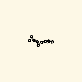 c1ccc(N(c2ccccc2)c2ccc(-c3ccc4c(c3)c3ccccc3n4-c3ccc(-c4ccc5c(c4)sc4cc(-c6cccs6)ccc45)cc3)cc2)cc1